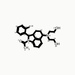 CC(=O)N1c2cccc3c2C(CCC3N(CCO)CCO)C1c1ccccc1F